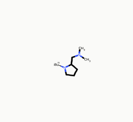 CC[C@H](C)N1CCCC1CN(C)C